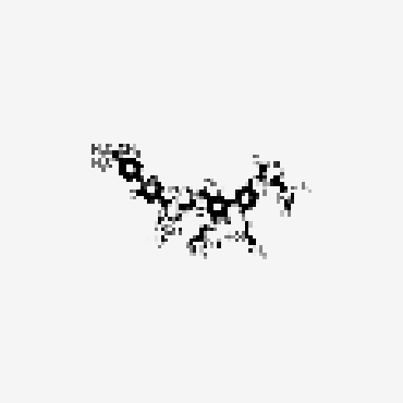 C[C@H](NC=O)C(=O)N[C@@H](Cc1ccc(OC[C@H](O)CN)c(-c2cc([C@@H](C)N(C)C(=O)[C@H](CNS(N)(=O)=O)NC(=O)c3cnn(-c4ccc(C(C)(C)C)cc4)c(=O)c3)cc(OC[C@H](O)CN)c2O)c1)C(=O)O